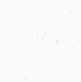 CCC(O)[CH]C(C)O